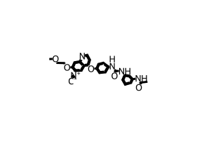 [C-]#[N+]c1cc2c(Oc3ccc(NC(=O)Nc4cccc(NC(C)=O)c4)cc3)ccnc2cc1OCCOC